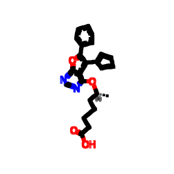 C[C@H](CCCCC(=O)O)Oc1ncnc2oc(-c3ccccc3)c(C3=C=CC=C3)c12